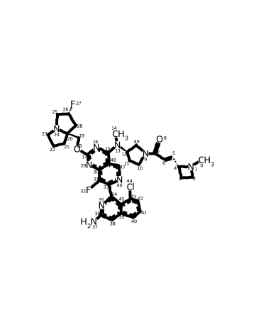 CN1CC[C@@H]1/C=C/C(=O)N1CC[C@@H](N(C)c2nc(OC[C@@]34CCCN3C[C@H](F)C4)nc3c(F)c(-c4nc(N)cc5cccc(Cl)c45)ncc23)C1